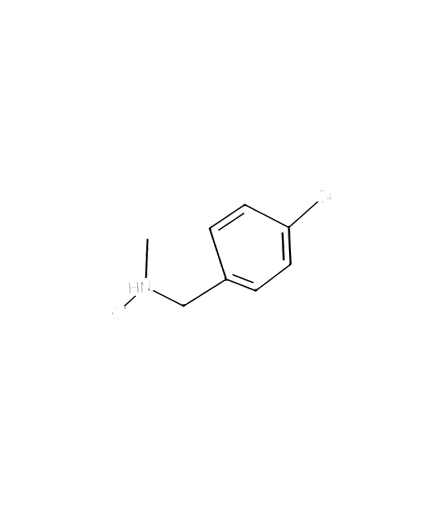 [CH2-][NH+](C)Cc1ccc(Br)cc1